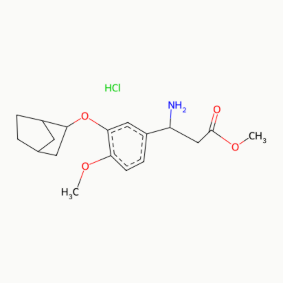 COC(=O)CC(N)c1ccc(OC)c(OC2CC3CCC2C3)c1.Cl